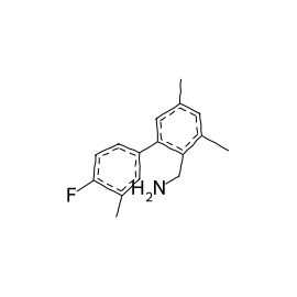 Cc1cc(C)c(CN)c(-c2ccc(F)c(C)c2)c1